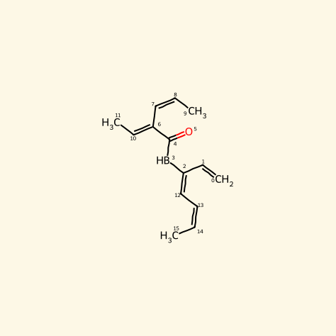 C=C/C(BC(=O)C(/C=C\C)=C/C)=C\C=C/C